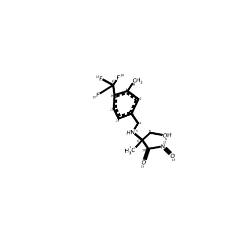 Cc1cc(CNC(C)(CO)C(=O)N=O)ccc1C(F)(F)F